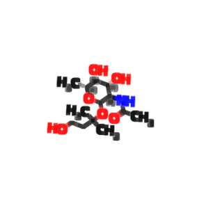 CC(=O)N[C@H]1C(OC(C)(C)CCO)O[C@H](C)[C@H](O)[C@@H]1O